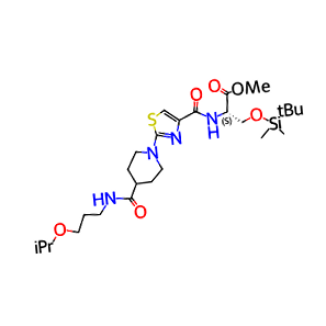 COC(=O)[C@H](CO[Si](C)(C)C(C)(C)C)NC(=O)c1csc(N2CCC(C(=O)NCCCOC(C)C)CC2)n1